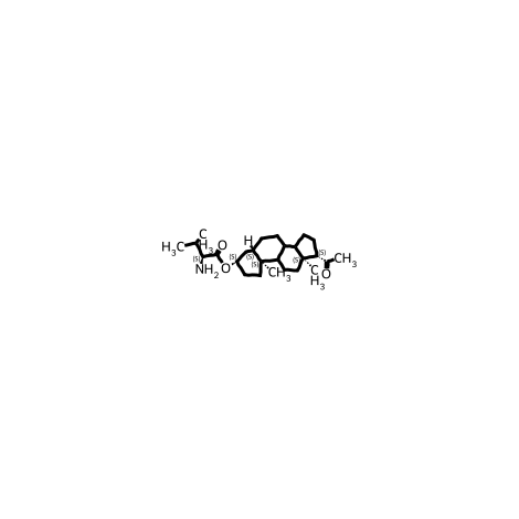 CC(=O)[C@H]1CCC2C3CC[C@H]4C[C@@H](OC(=O)[C@@H](N)C(C)C)CC[C@]4(C)C3CC[C@@]21C